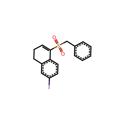 O=S(=O)(Cc1ccccc1)C1=CCCc2cc(I)ccc21